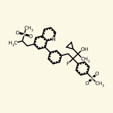 CC(Cc1cc(-c2cccc(CC(F)(c3ccc(S(C)(=O)=O)cc3)C(C)(O)C3CC3)c2)c2ncccc2c1)S(C)(=O)=O